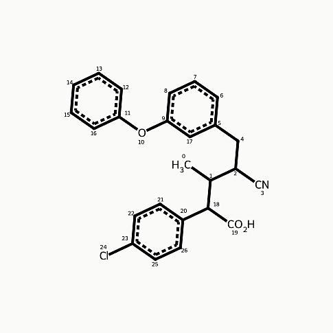 CC(C(C#N)Cc1cccc(Oc2ccccc2)c1)C(C(=O)O)c1ccc(Cl)cc1